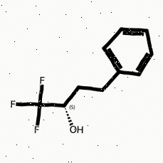 O[C@@H](CCc1ccccc1)C(F)(F)F